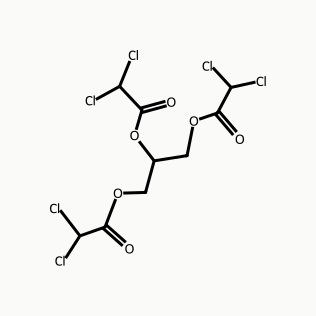 O=C(OCC(COC(=O)C(Cl)Cl)OC(=O)C(Cl)Cl)C(Cl)Cl